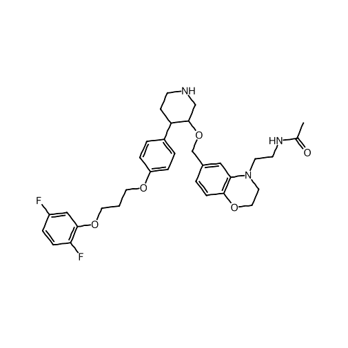 CC(=O)NCCN1CCOc2ccc(COC3CNCCC3c3ccc(OCCCOc4cc(F)ccc4F)cc3)cc21